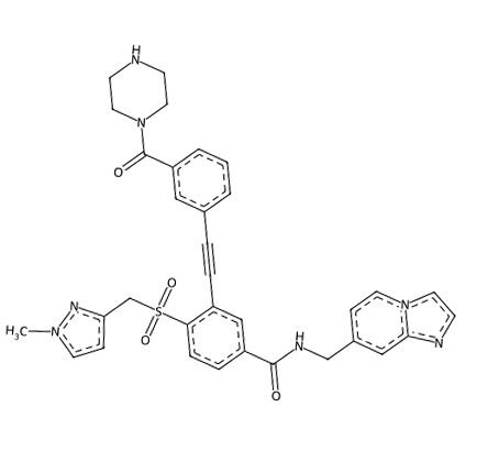 Cn1ccc(CS(=O)(=O)c2ccc(C(=O)NCc3ccn4ccnc4c3)cc2C#Cc2cccc(C(=O)N3CCNCC3)c2)n1